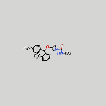 Cc1ccc(C(OC2CN(C(=O)NC(C)(C)C)C2)c2ccccc2C(F)(F)F)cc1